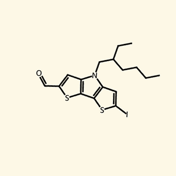 CCCCC(CC)Cn1c2cc(I)sc2c2sc(C=O)cc21